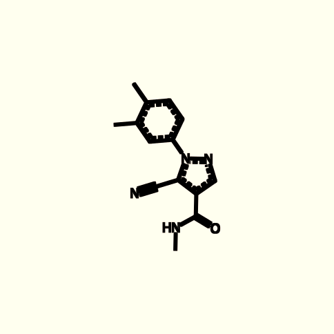 CNC(=O)c1cnn(-c2ccc(C)c(C)c2)c1C#N